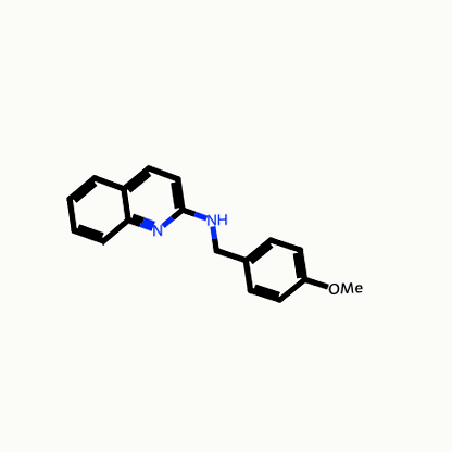 COc1ccc(CNc2ccc3ccc[c]c3n2)cc1